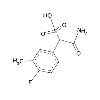 Cc1cc(C(C(N)=O)S(=O)(=O)O)ccc1F